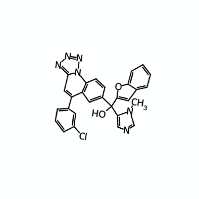 Cn1cncc1C(O)(c1ccc2c(c1)c(-c1cccc(Cl)c1)cc1nnnn12)c1cc2ccccc2o1